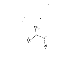 CC(C)[O][Al]